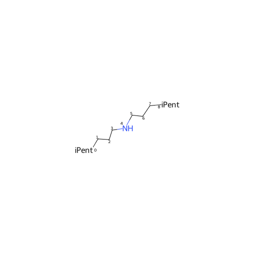 CCCC(C)CCCNCCCC(C)CCC